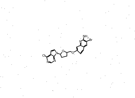 Nc1nc2cc(OCC3CCC(n4ccc5c(Cl)ncnc54)O3)ccc2cc1Br